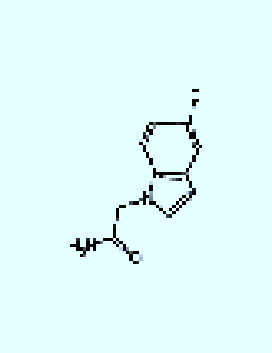 NC(=O)Cn1ccc2cc(Cl)ccc21